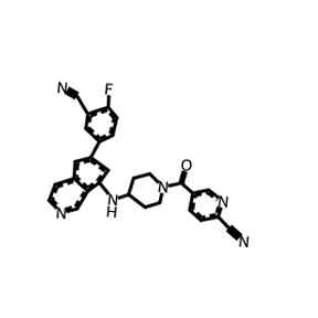 N#Cc1ccc(C(=O)N2CCC(Nc3cc(-c4ccc(F)c(C#N)c4)cc4ccncc34)CC2)cn1